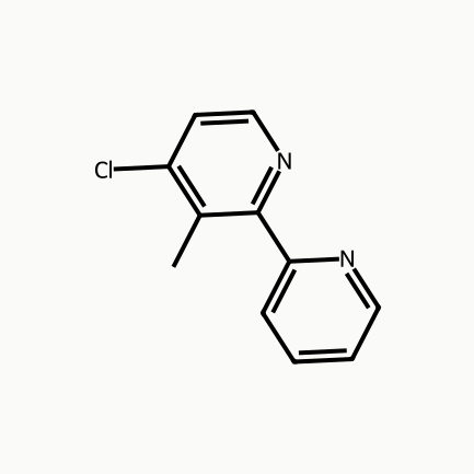 Cc1c(Cl)ccnc1-c1ccccn1